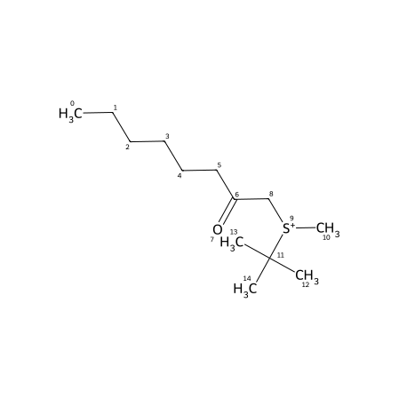 CCCCCCC(=O)C[S+](C)C(C)(C)C